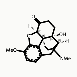 CNC1CC[C@]23c4c5ccc(OC)c4O[C@H]2C(=O)CC[C@@]3(O)[C@H]1C5